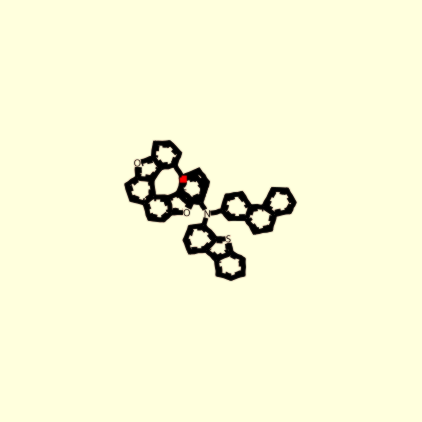 c1ccc2c(c1)ccc1cc(N(c3ccc(-c4cccc5oc6ccc7ccc8oc9ccccc9c8c7c6c45)cc3)c3cccc4c3sc3ccccc34)ccc12